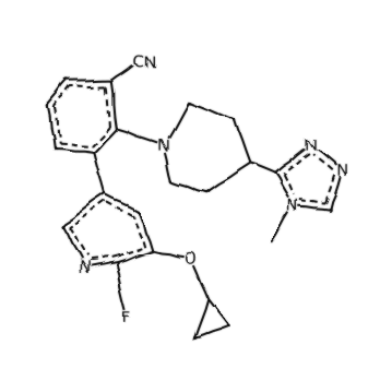 Cn1cnnc1C1CCN(c2c(C#N)cccc2-c2cnc(F)c(OC3CC3)c2)CC1